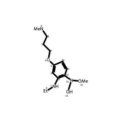 CCNc1cc(OCCCNC)ccc1N(O)OC